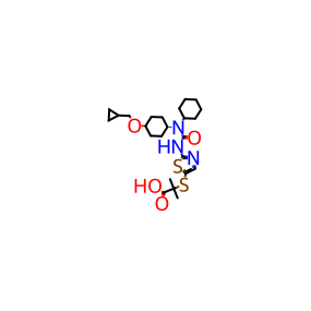 CC(C)(Sc1cnc(NC(=O)N(C2CCCCC2)[C@H]2CC[C@H](OCC3CC3)CC2)s1)C(=O)O